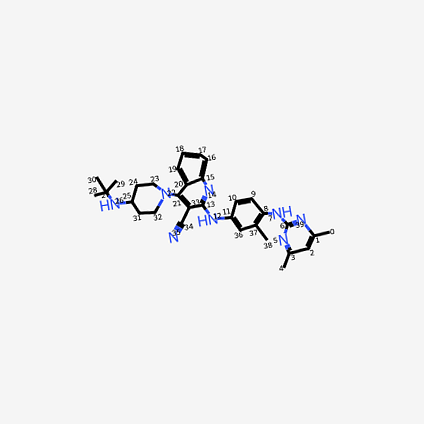 Cc1cc(C)nc(Nc2ccc(Nc3nc4ccccc4c(N4CCC(NC(C)(C)C)CC4)c3C#N)cc2C)n1